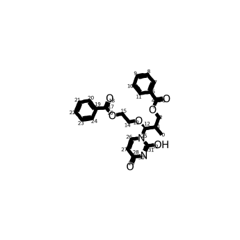 CC(COC(=O)c1ccccc1)[C@H](OCCOC(=O)c1ccccc1)n1ccc(=O)nc1O